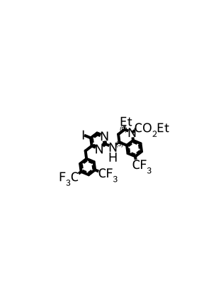 CCOC(=O)N1c2ccc(C(F)(F)F)cc2[C@@H](Nc2ncc(I)c(Cc3cc(C(F)(F)F)cc(C(F)(F)F)c3)n2)C[C@H]1CC